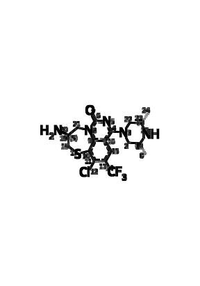 C[C@@H]1CN(c2nc(=O)n3c4c(c(Cl)c(C(F)(F)F)cc24)SC[C@@H](N)C3)C[C@H](C)N1